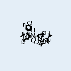 CC(C)N1C(=O)C[C@H](NC(=O)[C@@H]2C[C@@H](O)CN2C(=O)[C@@H](n2cc(C3CC3)nn2)C(C)(C)C)[C@H]1c1ccc(Cl)c(F)c1